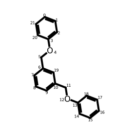 c1ccc(OCc2cccc(COc3ccccc3)c2)cc1